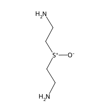 NCC[S+]([O-])CCN